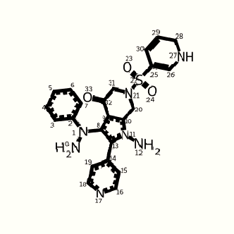 NN(c1ccccc1)c1c2c(n(N)c1-c1ccncc1)CN(S(=O)(=O)C1=CNCC=C1)CC2=O